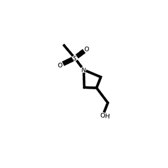 CS(=O)(=O)N1CC(CO)C1